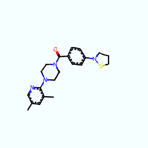 Cc1cnc(N2CCN(C(=O)c3ccc(N4CCCS4)cc3)CC2)c(C)c1